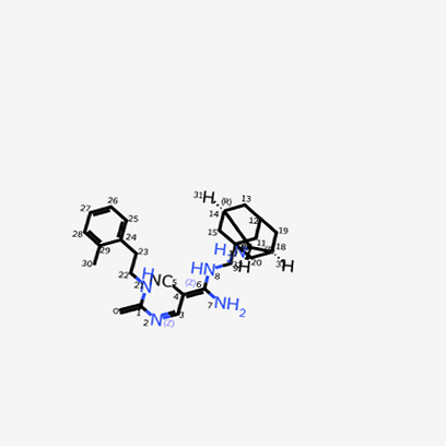 C=C(/N=C\C(C#N)=C(/N)NC[C@]12CC3C[C@H](C1)[C@@H](N)[C@@H](C3)C2)NCCc1ccccc1C